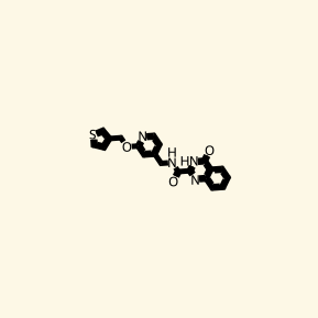 O=C(NCc1ccnc(OCc2ccsc2)c1)c1nc2ccccc2c(=O)[nH]1